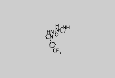 O=C(Nc1cccc(-c2ccc(C(F)(F)F)cc2)n1)N[C@H]1CCCNC1